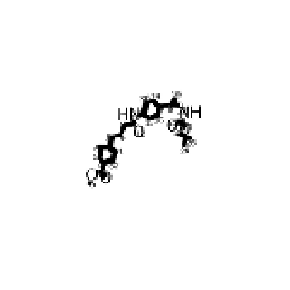 COC(=O)c1ccc(CCCC(=O)Nc2ccc(C3C[C@@H]3NC(=O)OC(C)(C)C)cc2)cc1